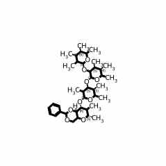 CC1[C@H](OC2[C@H](O[C@@H]3C(C)[C@H](O[C@@H]4C(C)[C@H](C)OC5COC(c6ccccc6)O[C@H]54)OC(C)[C@@H]3C)OC(C)[C@H](C)[C@@H]2C)OC(C)[C@H](C)[C@@H]1C